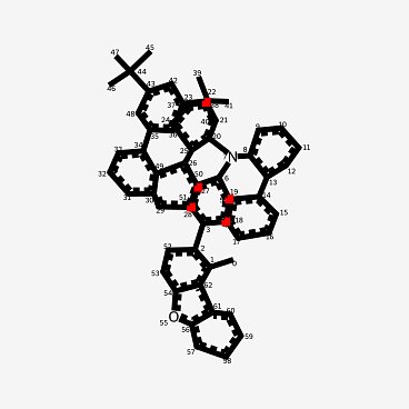 Cc1c(-c2ccc(N(c3ccccc3-c3ccccc3)c3ccccc3-c3cccc4cccc(-c5cc(C(C)(C)C)cc(C(C)(C)C)c5)c34)cc2)ccc2oc3ccccc3c12